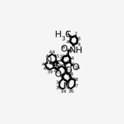 Cc1cccc(NC(=O)c2ccc3c(c2)C(=O)OC32c3cc4c5c(c3Oc3c2cc2c6c3CCCN6CCC2)CCCN5CCC4)c1